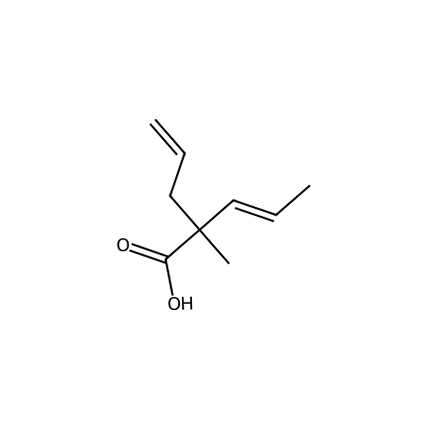 C=CCC(C)(C=CC)C(=O)O